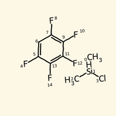 C[SiH](C)Cl.Fc1cc(F)c(F)c(F)c1F